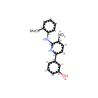 COc1ccccc1Nc1nc(-c2cccc(O)c2)ccc1[N+](=O)[O-]